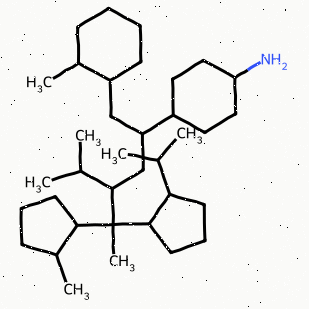 CC(C)C1CCCC1C(C)(C(CC(CC1CCCCC1C)C1CCC(N)CC1)C(C)C)C1CCCC1C